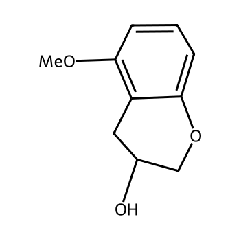 COc1cccc2c1CC(O)CO2